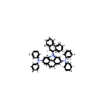 c1ccc(N(c2ccccc2)c2cc3ccc4cc(N(c5ccccc5)c5ccccc5)cc5c4c3c(c2)n5-c2cc3ccccc3c3ccccc23)cc1